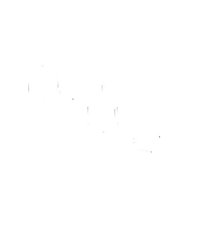 CC(C)(c1ccc(B2OC(C)(C)C(C)(C)O2)cc1Cl)N1CCOCC1